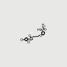 NC(=O)N(S)c1cccc(OCCCCCN2CCN(c3ccc(Cl)cc3Cl)C2=O)c1